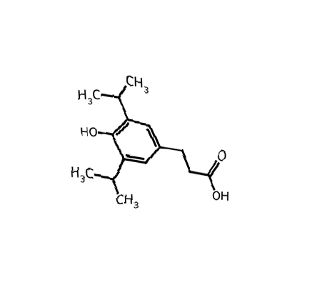 CC(C)c1cc(CCC(=O)O)cc(C(C)C)c1O